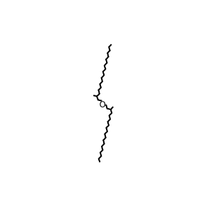 CCCCCCCCCCCCCCCCCC(C)CCOCCC(C)CCCCCCCCCCCCCCCCC